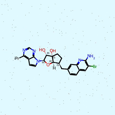 CC(C)c1ncnc2c1ccn2[C@@H]1O[C@@H]2[C@H](Cc3ccc4cc(Br)c(N)nc4c3)CC[C@]2(O)[C@H]1O